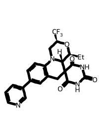 CC[C@@H]1O[C@H](C(F)(F)F)CN2c3ccc(-c4cccnc4)cc3CC3(C(=O)NC(=O)NC3=O)[C@@H]12